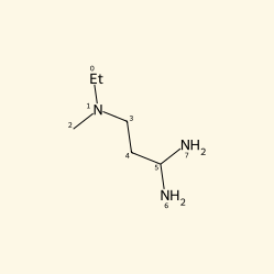 CCN(C)CCC(N)N